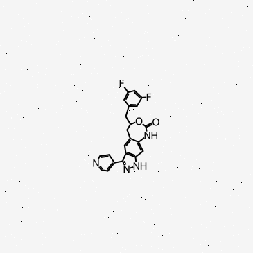 O=C1Nc2cc3[nH]nc(-c4ccncc4)c3cc2CC(Cc2cc(F)cc(F)c2)O1